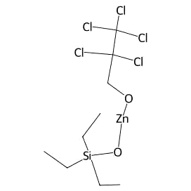 CC[Si](CC)(CC)[O][Zn][O]CC(Cl)(Cl)C(Cl)(Cl)Cl